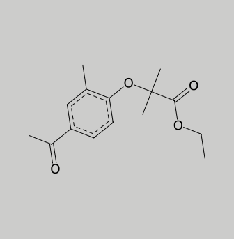 CCOC(=O)C(C)(C)Oc1ccc(C(C)=O)cc1C